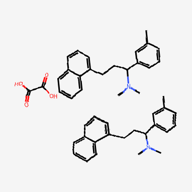 Cc1cccc(C(CCc2cccc3ccccc23)N(C)C)c1.Cc1cccc(C(CCc2cccc3ccccc23)N(C)C)c1.O=C(O)C(=O)O